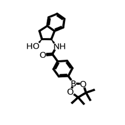 CC1(C)OB(c2ccc(C(=O)N[C@@H]3c4ccccc4C[C@@H]3O)cc2)OC1(C)C